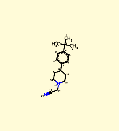 CC(C)(C)c1ccc(C2CCN(CC#N)CC2)cc1